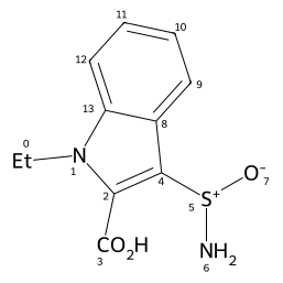 CCn1c(C(=O)O)c([S+](N)[O-])c2ccccc21